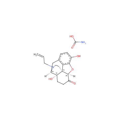 C=CCN1CC[C@]23c4c5ccc(O)c4O[C@H]2C(=O)CC[C@@]3(O)[C@H]1C5.NC(=O)O